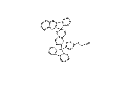 C#CCOc1ccc(C2(c3ccc4c(c3)C=CC3(O4)c4ccccc4-c4cc5ccccc5cc43)c3ccccc3-c3ccccc32)cc1